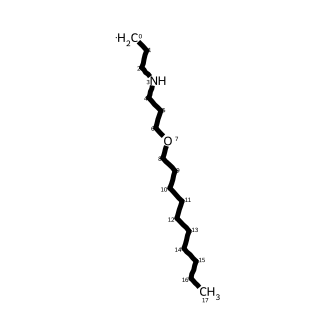 [CH2]CCNCCCOCCCCCCCCCC